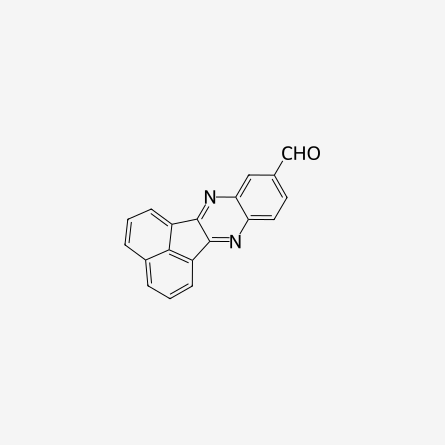 O=Cc1ccc2nc3c(nc2c1)-c1cccc2cccc-3c12